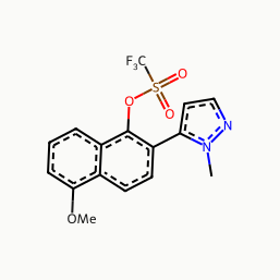 COc1cccc2c(OS(=O)(=O)C(F)(F)F)c(-c3ccnn3C)ccc12